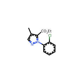 CCOC(=O)c1c(C)cnn1-c1ccccc1Cl